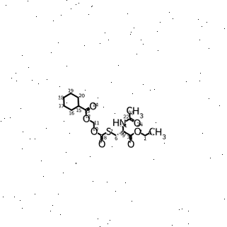 CCOC(=O)[C@H](CSC(=O)OCOC(=O)C1CCCCC1)NC(C)=O